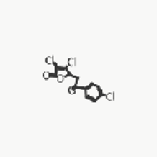 O=C1OC(CC(=O)c2ccc(Cl)cc2)C(Cl)=C1Cl